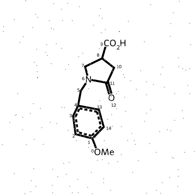 COc1ccc(CN2CC(C(=O)O)CC2=O)cc1